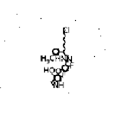 Cc1cccc(C(CCCCCCCl)c2cnc(-c3cc(Oc4c(F)cc5[nH]ccc5c4CO)ccc3F)[nH]2)c1